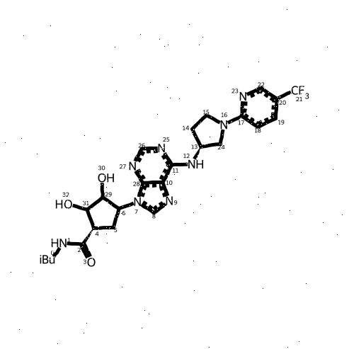 CCC(C)NC(=O)[C@@H]1CC(n2cnc3c(N[C@H]4CCN(c5ccc(C(F)(F)F)cn5)C4)ncnc32)C(O)C1O